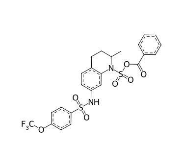 CC1CCc2ccc(NS(=O)(=O)c3ccc(OC(F)(F)F)cc3)cc2N1S(=O)(=O)OC(=O)c1ccccc1